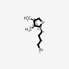 CC(=O)CCCC[C@@H]1SC[C@H](C)[C@@H]1C